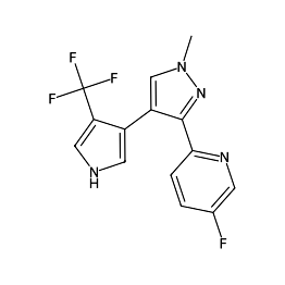 Cn1cc(-c2c[nH]cc2C(F)(F)F)c(-c2ccc(F)cn2)n1